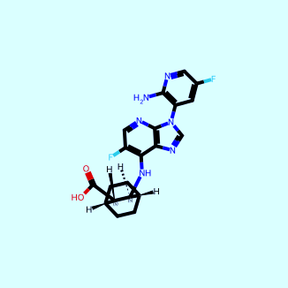 Nc1ncc(F)cc1-n1cnc2c(N[C@H]3[C@H]4CC[C@H](CC4)[C@@H]3C(=O)O)c(F)cnc21